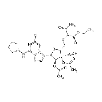 C#C[C@@]1(OC(C)=O)[C@@H](COC(C(N)=O)C(=O)OCC)O[C@@H](n2cnc3c(NC4CCCC4)nc(Cl)nc32)[C@@H]1OC(C)=O